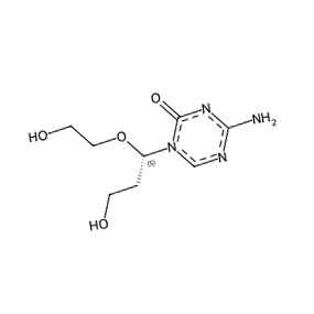 Nc1ncn([C@H](CCO)OCCO)c(=O)n1